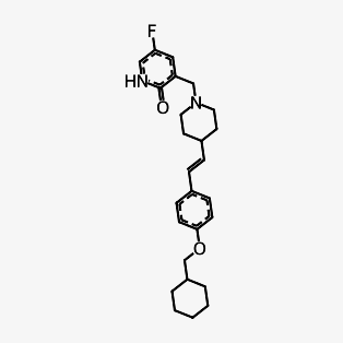 O=c1[nH]cc(F)cc1CN1CCC(C=Cc2ccc(OCC3CCCCC3)cc2)CC1